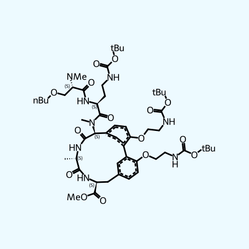 CCCCOC[C@H](NC)C(=O)N[C@@H](CCNC(=O)OC(C)(C)C)C(=O)N(C)[C@@H]1C(=O)N[C@@H](C)C(=O)N[C@H](C(=O)OC)Cc2ccc(OCCNC(=O)OC(C)(C)C)c(c2)-c2cc1ccc2OCCNC(=O)OC(C)(C)C